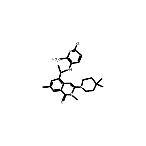 Cc1cc(C(C)Nc2ccc(Cl)nc2C(=O)O)c2cc(N3CCC(C)(C)CC3)n(C)c(=O)c2c1